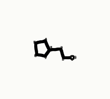 [O]CCC1CCCC1